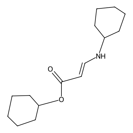 O=C(C=CNC1CCCCC1)OC1CCCCC1